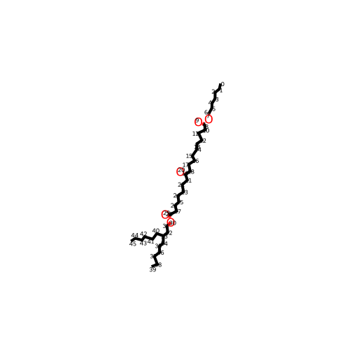 CCCCCCCOC(=O)CCCCCCCCCC(=O)CCCCCCCC(=O)OCCC(CCCCCC)CCCCCC